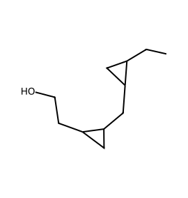 CCC1CC1CC1CC1CCO